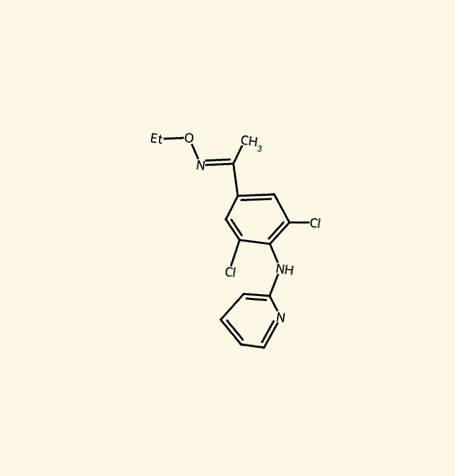 CCON=C(C)c1cc(Cl)c(Nc2ccccn2)c(Cl)c1